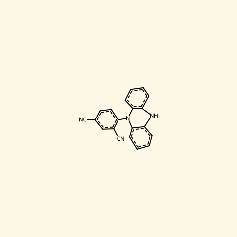 N#Cc1ccc(N2c3ccccc3Nc3ccccc32)c(C#N)c1